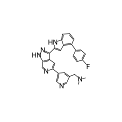 CN(C)Cc1cncc(-c2cc3c(-c4cc5c(-c6ccc(F)cc6)cccc5[nH]4)n[nH]c3cn2)c1